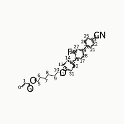 C=CC(=O)OCCCCCCOc1ccc(-c2ccc(-c3ccc(C#N)cc3)cc2F)cc1